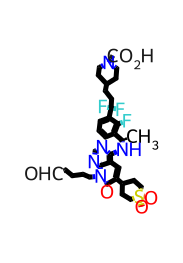 C[C@@H](Nc1ncnc2c1cc(C1CCS(=O)(=O)CC1)c(=O)n2CCCCC=O)c1cccc(C(F)(F)CCC2CCN(C(=O)O)CC2)c1F